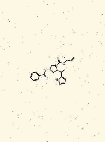 C=CCOC(=O)N1C[C@@H](SC(=O)c2ccccc2)C[C@@H]1C(C)c1ccn[nH]1